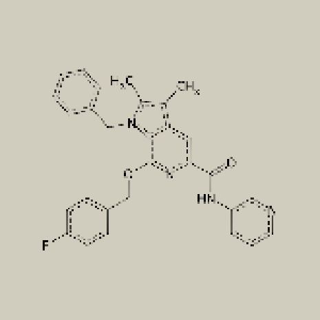 Cc1c(C)n(Cc2ccccc2)c2c(OCc3ccc(F)cc3)nc(C(=O)Nc3cccnc3)cc12